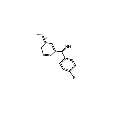 C/C=C1/C=C(C(=N)c2ccc(CC)cc2)C=CC1